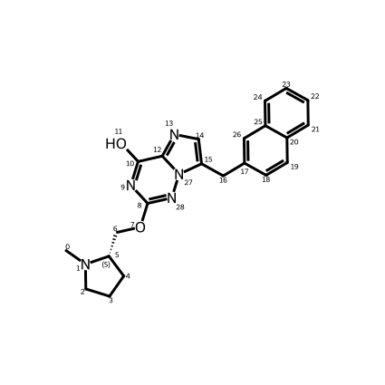 CN1CCC[C@H]1COc1nc(O)c2ncc(Cc3ccc4ccccc4c3)n2n1